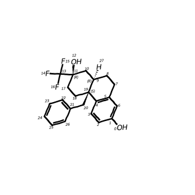 Oc1ccc2c(c1)CC[C@@H]1C[C@@](O)(C(F)(F)F)CC[C@@]21Cc1ccccc1